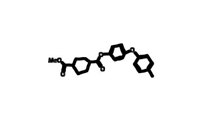 COC(=O)C1CCC(C(=O)Oc2ccc(Oc3ccc(C)cc3)cc2)CC1